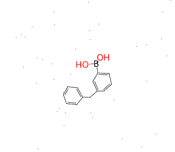 OB(O)c1cccc(Cc2ccccc2)c1